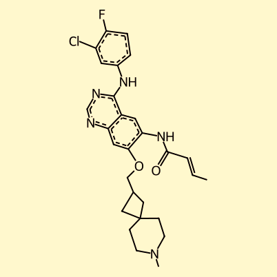 C/C=C/C(=O)Nc1cc2c(Nc3ccc(F)c(Cl)c3)ncnc2cc1OCC1CC2(CCN(C)CC2)C1